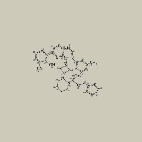 Cc1cc(F)cc(-c2cnc3ccc(-c4cccc(C#N)c4O)cc3c2N2CC(C3COCCN3C(=O)OCc3ccccc3)C2)c1